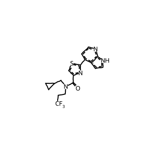 O=C(c1csc(-c2ccnc3[nH]ccc23)n1)N(CCC(F)(F)F)CC1CC1